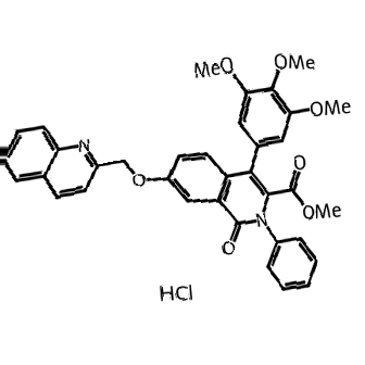 COC(=O)c1c(-c2cc(OC)c(OC)c(OC)c2)c2ccc(OCc3ccc4ccccc4n3)cc2c(=O)n1-c1ccccc1.Cl